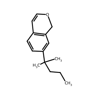 CCCC(C)(C)c1ccc2c(c1)COC=C2